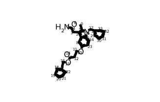 Cc1c(CC(N)=O)c2cc(OCCC(=O)OCc3ccccc3)ccc2n1Cc1ccccc1